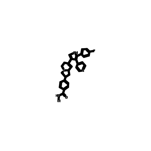 CCNC(=O)c1ccc(C2CC3C=C(c4c[nH]c(-c5ccc(F)cc5)c4-c4ccncc4)CCN3C2)cc1